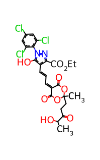 CCOC(=O)c1nn(-c2c(Cl)cc(Cl)cc2Cl)c(O)c1/C=C/C=C1C(=O)OC(C)(CCC(=O)C(C)O)OC1=O